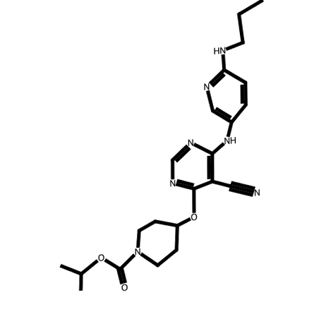 CCCNc1ccc(Nc2ncnc(OC3CCN(C(=O)OC(C)C)CC3)c2C#N)cn1